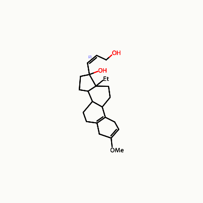 CCC12CCC3C4=C(CCC3C1CCC2(O)/C=C\CO)CC(OC)=CC4